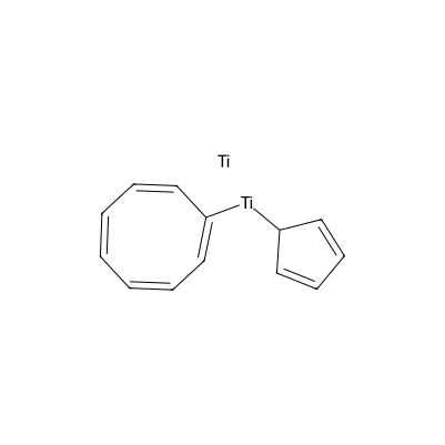 C1=CC=C[C]([Ti][CH]2C=CC=C2)=CC=C1.[Ti]